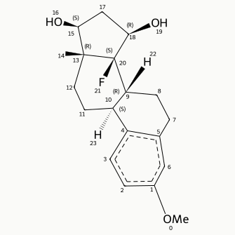 COc1ccc2c(c1)CC[C@@H]1[C@@H]2CC[C@]2(C)[C@@H](O)C[C@@H](O)[C@]12F